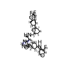 C=C(NC[C@H]1CCC[C@@H](C2C=CC(OC(F)(F)F)=CC2)O1)/C(C)=C(\N=C/N)C(=O)N1CCC(N[C@H]2CCOC[C@H]2F)CC1